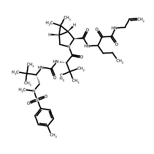 C=CCNC(=O)C(=O)C(CCC)NC(=O)[C@@H]1[C@@H]2[C@H](CN1C(=O)[C@@H](NC(=O)N[C@H](CN(C)S(=O)(=O)c1ccc(C)cc1)C(C)(C)C)C(C)(C)C)C2(C)C